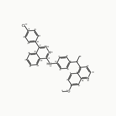 COc1ccc2c(C(C)c3ccc(Nc4nnc(-c5ccc(Cl)cc5)c5ccccc45)cc3)ccnc2c1